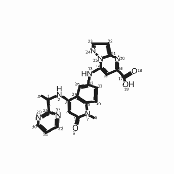 CC(Nc1cc(=O)n(C)c2ccc(Nc3cc(C(=O)O)nc4ccnn34)cc12)c1ncccn1